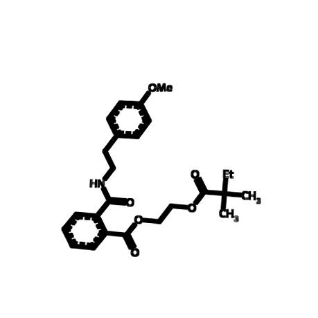 CCC(C)(C)C(=O)OCCOC(=O)c1ccccc1C(=O)NCCc1ccc(OC)cc1